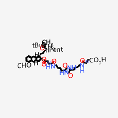 CCCCCC(CC[C@@H]1[C@H]2Cc3cccc(C=O)c3C[C@H]2C[C@H]1OC(=O)/C=C/C(=O)NCCCCC1NC(=O)C(CCCCNC(=O)/C=C/C(=O)O)NC1=O)O[Si](C)(C)C(C)(C)C